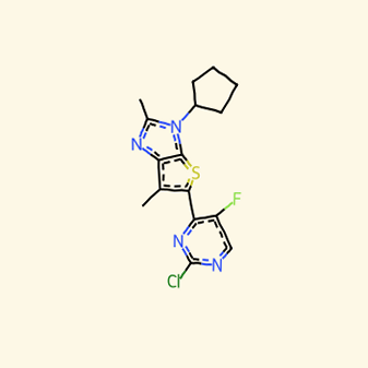 Cc1c(-c2nc(Cl)ncc2F)sc2c1nc(C)n2C1CCCC1